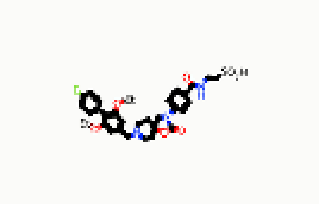 CCOc1cc(CN2CCC3(CC2)CN(c2ccc(C(=O)NCCS(=O)(=O)O)cc2)C(=O)O3)cc(OCC)c1-c1ccc(F)cc1